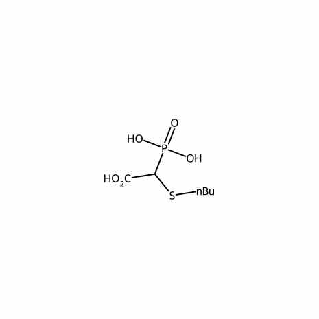 CCCCSC(C(=O)O)P(=O)(O)O